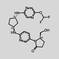 O=C1CC[C@H](CO)N1c1ccc(N[C@H]2CC[C@H](Nc3cnc(OC(F)F)cn3)C2)nc1